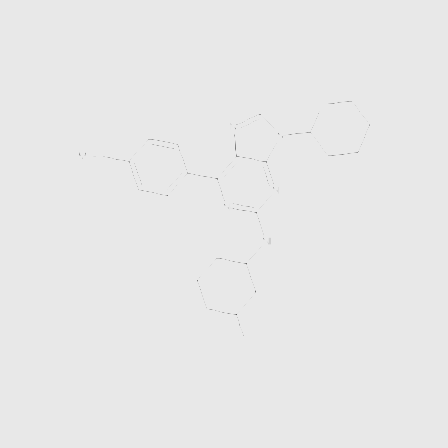 COc1ccc(-c2nc(NC3CCCC(O)C3)nc3c2ncn3C2CCCCO2)cc1